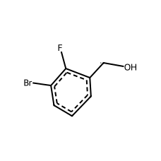 O[CH]c1cccc(Br)c1F